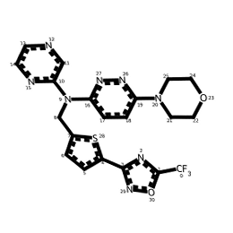 FC(F)(F)c1nc(-c2ccc(CN(c3cnccn3)c3ccc(N4CCOCC4)nn3)s2)no1